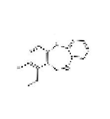 CCc1c(F)ccc2c1CSc1ccccc1[C@H]2C